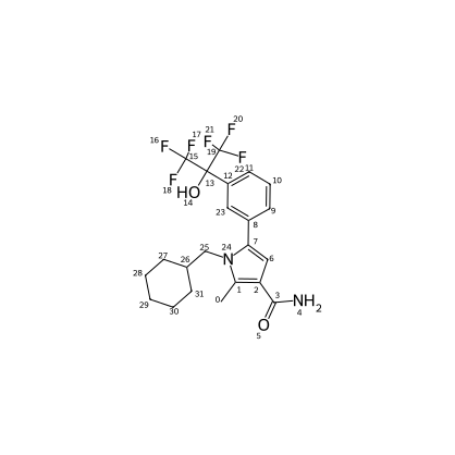 Cc1c(C(N)=O)cc(-c2cccc(C(O)(C(F)(F)F)C(F)(F)F)c2)n1CC1CCCCC1